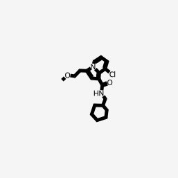 COCCc1cc(C(=O)NCC2CCCCC2)c2c(Cl)cccn12